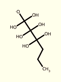 CCCC(O)(O)C(O)(O)C([O])(O)O